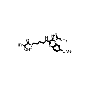 COc1ccc2nc(NCCCCNC(=O)[C@@H](O)C(C)C)c3nnc(C)n3c2c1